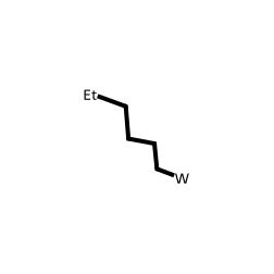 CCCCC[CH2][W]